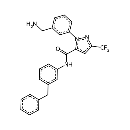 NCc1cccc(-n2nc(C(F)(F)F)cc2C(=O)Nc2cccc(Cc3ccccc3)c2)c1